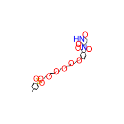 Cc1ccc(S(=O)(=O)OCCOCCOCCOCCOCCOc2ccc3c(c2)C(=O)N(C2CCC(=O)NC2=O)C3=O)cc1